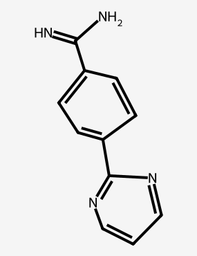 N=C(N)c1ccc(-c2ncccn2)cc1